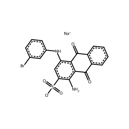 Nc1c(S(=O)(=O)[O-])cc(Nc2cccc(Br)c2)c2c1C(=O)c1ccccc1C2=O.[Na+]